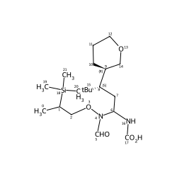 CC(CON(C=O)C(C[C@@H]([C@H]1CCCOC1)C(C)(C)C)NC(=O)O)[Si](C)(C)C